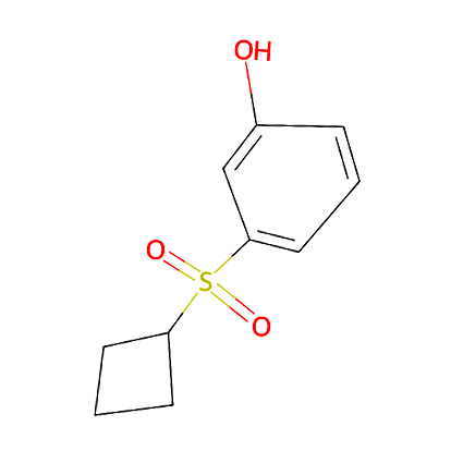 O=S(=O)(c1cccc(O)c1)C1CCC1